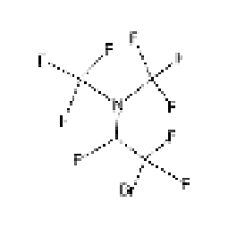 FC(N(C(F)(F)F)C(F)(F)F)C(F)(F)Br